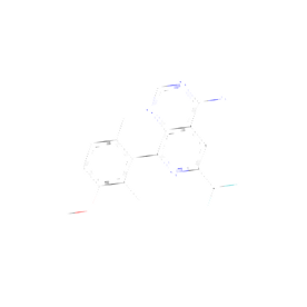 COc1ccc(C)c(-c2nc(C(F)F)cc3c(N)ncnc23)c1C